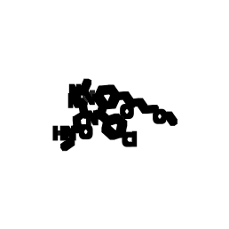 CCNC(=O)C[C@@H]1N=C(c2ccc(Cl)cc2)c2cc(CC(=O)CCCOCC)ccc2-n2c(C)nnc21